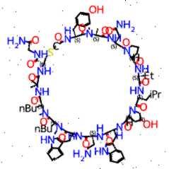 CCCC[C@H]1C(=O)N(C)[C@@H](CCCC)C(=O)NC(C)(C)C(=O)N[C@H](C(=O)NCC(N)=O)CSCC(=O)N[C@@H](Cc2ccc(O)cc2)C(=O)N(C)[C@@H](C)C(=O)N[C@@H](CC(N)=O)C(=O)N2CCC[C@H]2C(=O)N[C@@H](CC)C(=O)N[C@@H](CC(C)C)C(=O)N2C[C@H](O)C[C@H]2C(=O)NC(Cc2c[nH]c3ccccc23)C(=O)N[C@@H](CCN)C(=O)N[C@@H](Cc2c[nH]c3ccccc23)C(=O)N1C